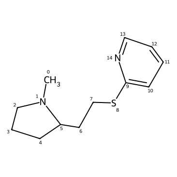 CN1CCCC1CCSc1ccccn1